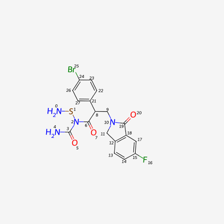 NSN(C(N)=O)C(=O)C(CN1Cc2ccc(F)cc2C1=O)c1ccc(Br)cc1